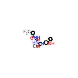 CCOC1CN(C2CCC(O)(c3ccccc3)CC2)C[C@@H]1NC(=O)CNC(=O)c1cccc(C(F)(F)F)c1